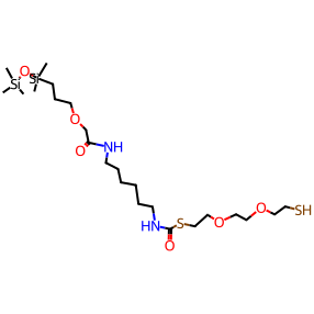 C[Si](C)(C)O[Si](C)(C)CCCOCC(=O)NCCCCCCNC(=O)SCCOCCOCCS